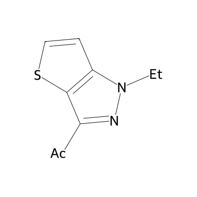 CCn1nc(C(C)=O)c2sccc21